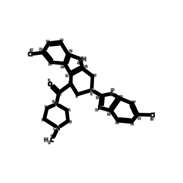 CN1CCN(C(=O)C2CN(c3nc4ccc(Cl)cc4s3)Cc3[nH]c4ccc(Cl)cc4c32)CC1